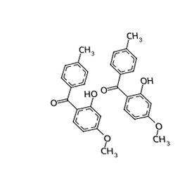 COc1ccc(C(=O)c2ccc(C)cc2)c(O)c1.COc1ccc(C(=O)c2ccc(C)cc2)c(O)c1